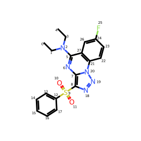 CCN(CC)c1nc2c(S(=O)(=O)c3ccccc3)nnn2c2ccc(F)cc12